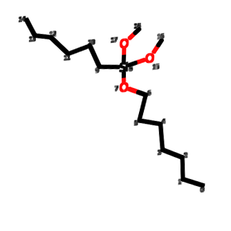 CCCCCCCO[Si](CCCCCC)(OC)OC